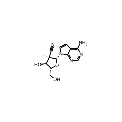 C[C@@]1(C#N)[C@H](O)[C@@H](CO)O[C@H]1n1ccc2c(N)ncnc21